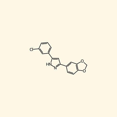 Clc1cccc(-c2cc(-c3ccc4c(c3)OCO4)n[nH]2)c1